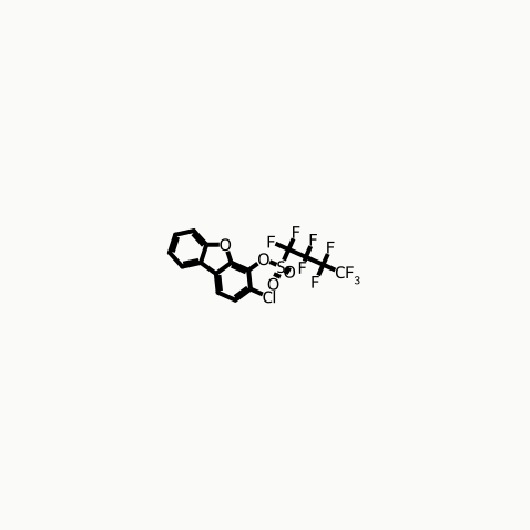 O=S(=O)(Oc1c(Cl)ccc2c1oc1ccccc12)C(F)(F)C(F)(F)C(F)(F)C(F)(F)F